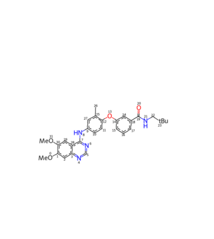 COc1cc2ncnc(Nc3ccc(Oc4cccc(C(=O)NCC(C)(C)C)c4)c(C)c3)c2cc1OC